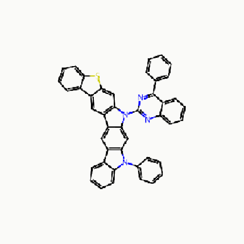 c1ccc(-c2nc(-n3c4cc5sc6ccccc6c5cc4c4cc5c6ccccc6n(-c6ccccc6)c5cc43)nc3ccccc23)cc1